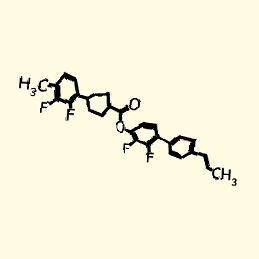 CCCc1ccc(-c2ccc(OC(=O)C3CCC(c4ccc(C)c(F)c4F)CC3)c(F)c2F)cc1